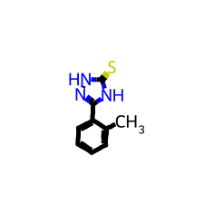 Cc1ccccc1-c1n[nH]c(=S)[nH]1